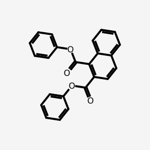 O=C(Oc1ccccc1)c1ccc2ccccc2c1C(=O)Oc1ccccc1